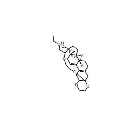 CCOCC1OCCOC23CC4=C(CC2OCCO3)C2=CC[C@@]3(C)[C@H](CC[C@@]13O)[C@@H]2CC4